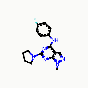 Cn1ncc2c(Nc3ccc(F)cc3)nc(N3CCCC3)nc21